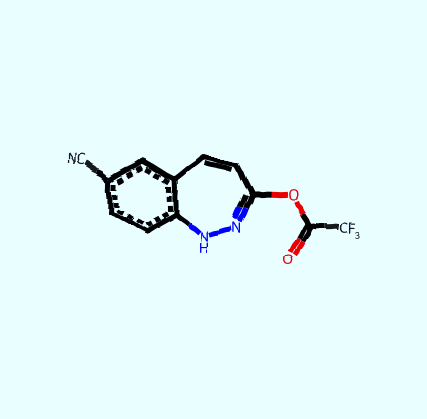 N#Cc1ccc2c(c1)C=CC(OC(=O)C(F)(F)F)=NN2